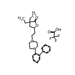 CCC1(CC)CC(CCN2CCN(c3ccccc3-c3ccccc3)CC2)OC1=O.O=C(O)C(F)(F)F